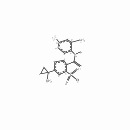 C=C(c1ccc(C2(N)CC2)cc1S(=N)(=O)CC)N(C)c1cnc(C(F)(F)F)cc1N